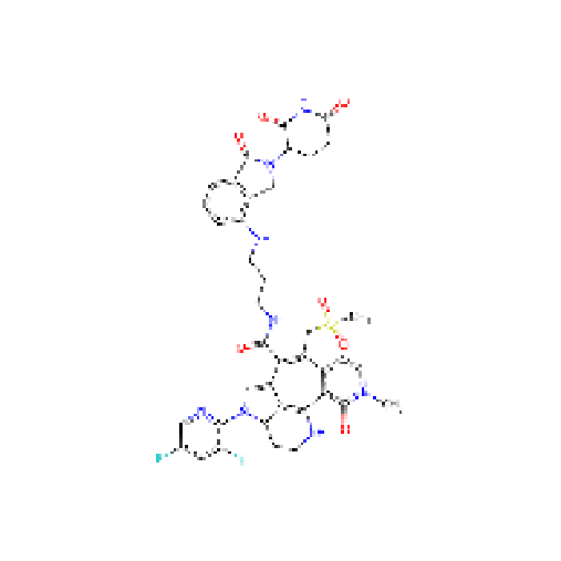 Cn1ccc2c(c1=O)C1=C3C(=CN(c4ncc(F)cc4F)C3CCN1)C(C(=O)NCCCNc1cccc3c1CN(C1CCC(=O)NC1=O)C3=O)=C2CS(C)(=O)=O